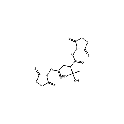 CNC(C)(O)C(CC(=O)ON1C(=O)CSC1=S)C(=O)ON1C(=O)CSC1=S